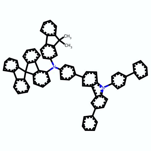 CC1(C)c2ccccc2-c2ccc(N(c3ccc(-c4ccc5c(c4)c4cc(-c6ccccc6)ccc4n5-c4ccc(-c5ccccc5)cc4)cc3)c3cccc4c3-c3ccccc3C43c4ccccc4-c4ccccc43)cc21